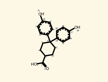 O=C(O)C1CCC(c2ccc(O)cc2)(c2ccc(O)cc2)CC1